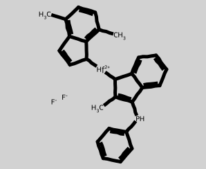 CC1=C(Pc2ccccc2)c2ccccc2[CH]1[Hf+2][CH]1C=Cc2c(C)ccc(C)c21.[F-].[F-]